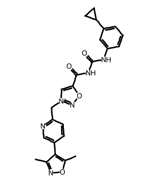 Cc1noc(C)c1-c1ccc(C[n+]2cc(C(=O)NC(=O)Nc3cccc(C4CC4)c3)on2)nc1